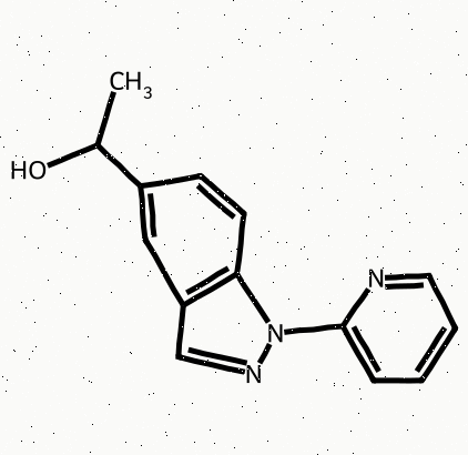 CC(O)c1ccc2c(cnn2-c2ccccn2)c1